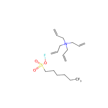 C=CC[N+](CC=C)(CC=C)CC=C.O=S(=O)(CCCCCC(F)(F)F)OF